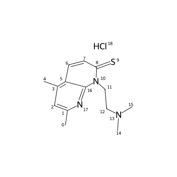 Cc1cc(C)c2ccc(=S)n(CCN(C)C)c2n1.Cl